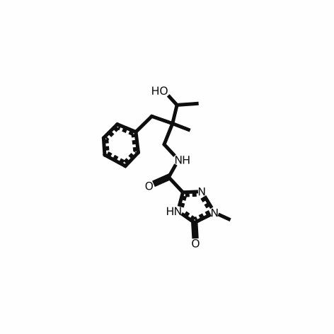 CC(O)C(C)(CNC(=O)c1nn(C)c(=O)[nH]1)Cc1ccccc1